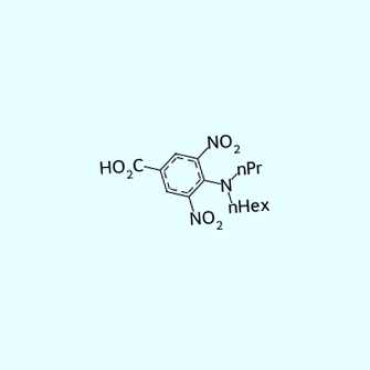 CCCCCCN(CCC)c1c([N+](=O)[O-])cc(C(=O)O)cc1[N+](=O)[O-]